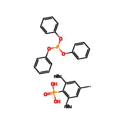 [CH2]c1cc(CCCC)c(P(=O)(O)O)c(CCCC)c1.c1ccc(OP(Oc2ccccc2)Oc2ccccc2)cc1